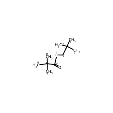 CC(C)(C)COC(=O)C(C)(C)C